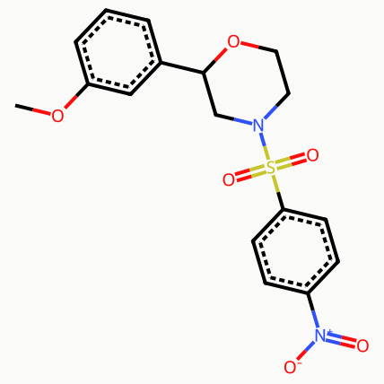 COc1cccc(C2CN(S(=O)(=O)c3ccc([N+](=O)[O-])cc3)CCO2)c1